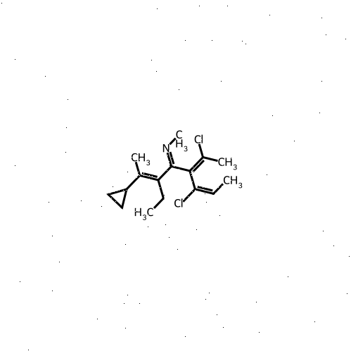 C/C=C(Cl)\C(C(=NC)/C(CC)=C(\C)C1CC1)=C(/C)Cl